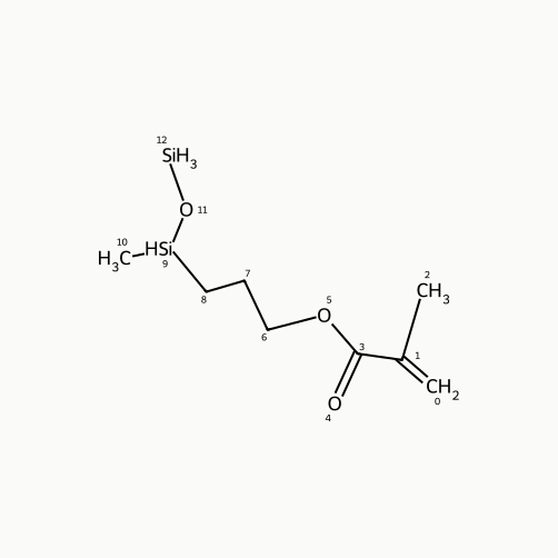 C=C(C)C(=O)OCCC[SiH](C)O[SiH3]